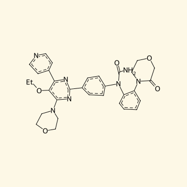 CCOc1c(-c2ccncc2)nc(-c2ccc(N(C(N)=O)c3ccccc3N3CCOCC3=O)cc2)nc1N1CCOCC1